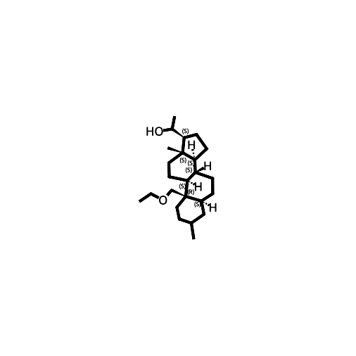 CCOC[C@]12CCC(C)C[C@@H]1CC[C@H]1[C@@H]3CC[C@H](C(C)O)[C@@]3(C)CC[C@@H]12